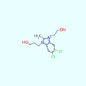 Cc1n(CCCO)c2cc(Cl)c(Cl)cc2[n+]1CCCO